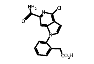 NC(=O)c1cc2c(ccn2-c2ccccc2CC(=O)O)c(Cl)n1